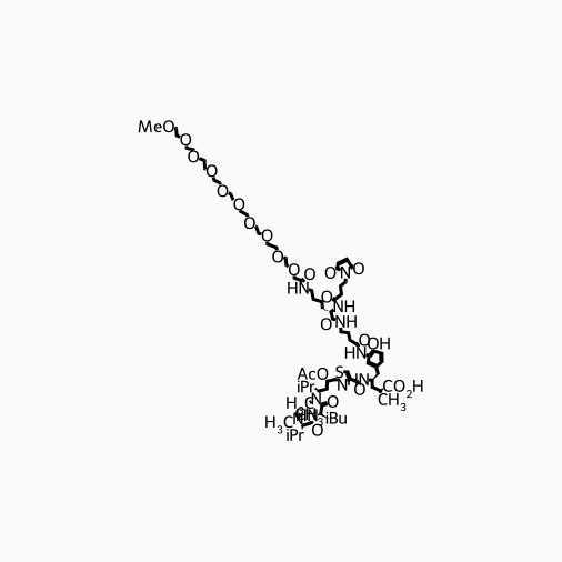 CC[C@H](C)[C@H](NC(=O)[C@H](C(C)C)N(C)C)C(=O)N(C)[C@H](C[C@@H](OC(C)=O)c1nc(C(=O)N[C@@H](Cc2ccc(O)c(NC(=O)CCCNC(=O)[C@H](CCCCNC(=O)COCCOCCOCCOCCOCCOCCOCCOCCOCCOC)NC(=O)CCCN3C(=O)C=CC3=O)c2)C[C@H](C)C(=O)O)cs1)C(C)C